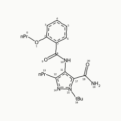 CCCOc1ccccc1C(=O)Nc1c(CCC)nn(C(C)(C)C)c1C(N)=O